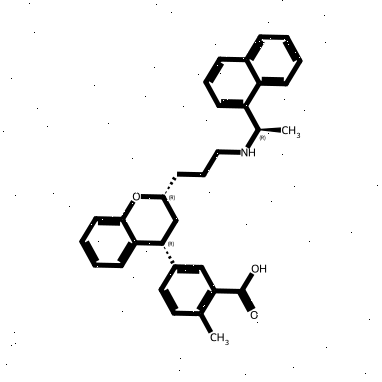 Cc1ccc([C@H]2C[C@@H](CCCN[C@H](C)c3cccc4ccccc34)Oc3ccccc32)cc1C(=O)O